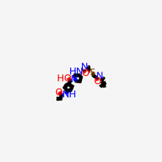 C=CC(=O)Nc1ccc(C(O)N2CCC[C@@H](Nc3ncc(SCc4ncc(C(C)(C)C)o4)o3)C2)cc1